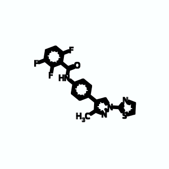 Cc1nn(-c2nccs2)cc1-c1ccc(NC(=O)c2c(F)ccc(F)c2F)cc1